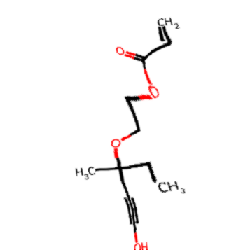 C=CC(=O)OCCOC(C)(C#CO)CC